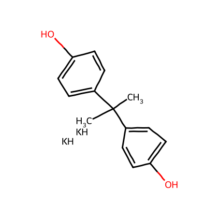 CC(C)(c1ccc(O)cc1)c1ccc(O)cc1.[KH].[KH]